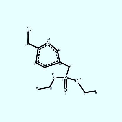 CCOP(=O)(Cc1ccc(CBr)nc1)OCC